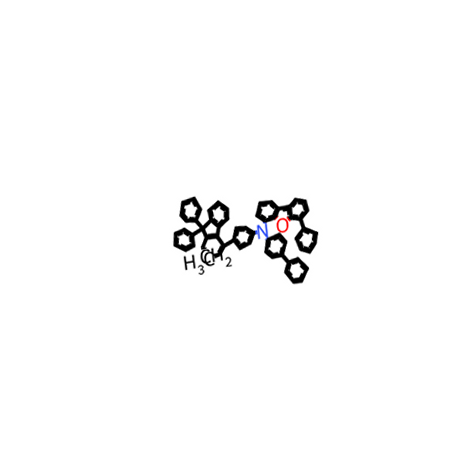 C=CC1=C(/C(=C\C)c2ccc(N(c3ccc(-c4ccccc4)cc3)c3cccc4c3oc3c(-c5ccccc5)cccc34)cc2)c2ccccc2C1(c1ccccc1)c1ccccc1